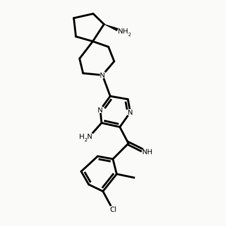 Cc1c(Cl)cccc1C(=N)c1ncc(N2CCC3(CCC[C@H]3N)CC2)nc1N